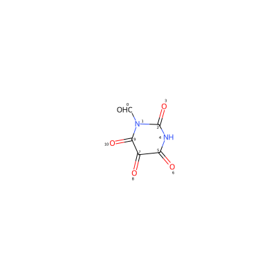 O=CN1C(=O)NC(=O)C(=O)C1=O